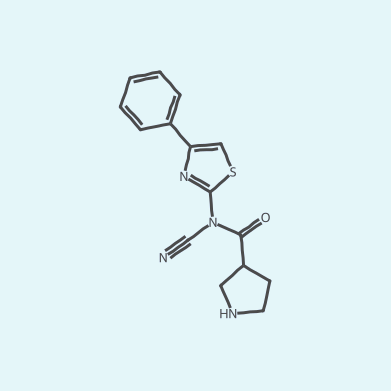 N#CN(C(=O)C1CCNC1)c1nc(-c2ccccc2)cs1